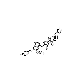 C=C(NCCc1cccc(C)c1)C(=O)Nc1ccc(Cc2ccnc3cc(OCC4CCNCC4)c(OC)cc23)c(F)c1